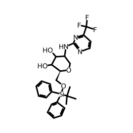 CC(C)(C)[Si](OC[C@@H]1OCC(Nc2nccc(C(F)(F)F)n2)C(O)C1O)(c1ccccc1)c1ccccc1